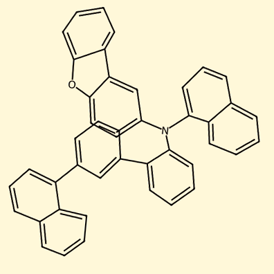 c1cc(-c2ccccc2N(c2ccc3oc4ccccc4c3c2)c2cccc3ccccc23)cc(-c2cccc3ccccc23)c1